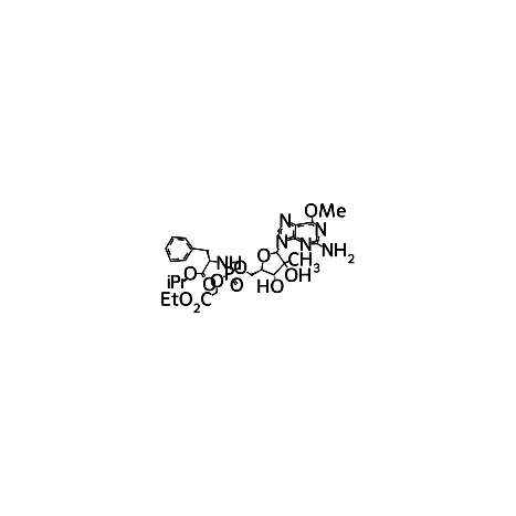 CCOC(=O)COP(=O)(N[C@H](Cc1ccccc1)C(=O)OC(C)C)OC[C@H]1OC(n2cnc3c(OC)nc(N)nc32)[C@](C)(O)[C@@H]1O